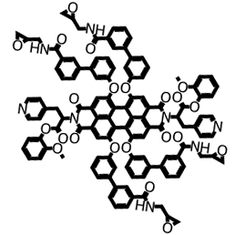 COc1ccccc1OC(=O)C(Cc1ccncc1)N1C(=O)c2cc(Oc3cccc(-c4cccc(C(=O)NCC5CO5)c4)c3)c3c4c(Oc5cccc(-c6cccc(C(=O)NCC7CO7)c6)c5)cc5c6c(cc(Oc7cccc(-c8cccc(C(=O)NCC9CO9)c8)c7)c(c7c(Oc8cccc(-c9cccc(C(=O)NCC%10CO%10)c9)c8)cc(c2c37)C1=O)c64)C(=O)N(C(Cc1ccncc1)C(=O)Oc1ccccc1OC)C5=O